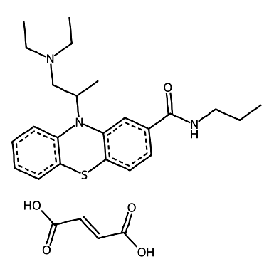 CCCNC(=O)c1ccc2c(c1)N(C(C)CN(CC)CC)c1ccccc1S2.O=C(O)/C=C/C(=O)O